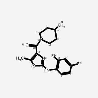 Cc1sc(Nc2ccc(F)cc2F)nc1C(=O)N1CCC(C)CC1